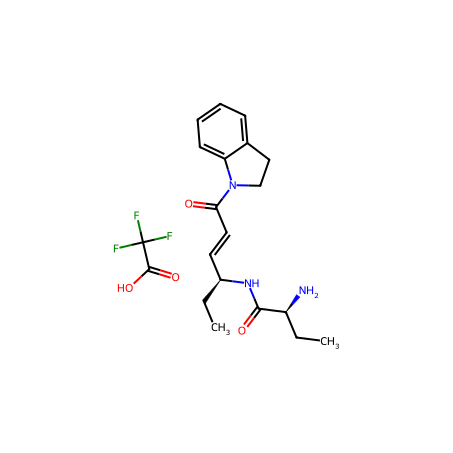 CC[C@@H](/C=C/C(=O)N1CCc2ccccc21)NC(=O)[C@@H](N)CC.O=C(O)C(F)(F)F